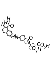 Cc1nc2ccc3ccc(CNc4ccc5c(c4)CN(C(CCC(=O)O)C(=O)O)C5=O)cc3c2c(=O)[nH]1